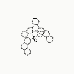 O=P(c1ccc2ccc3ccccc3c2c1)(c1ccc2ccc3ccccc3c2c1)c1c2ccccc2cc2c3ccccc3c3ccccc3c12